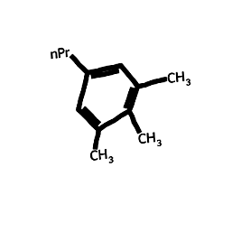 CCCc1cc(C)c(C)c(C)c1